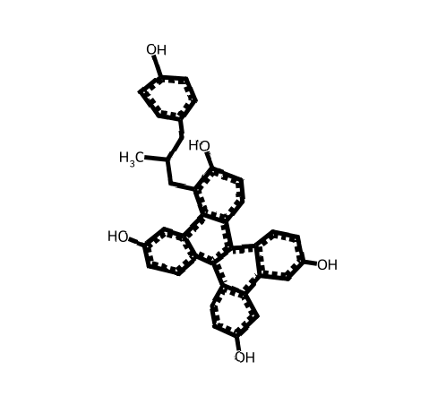 CC(Cc1ccc(O)cc1)Cc1c(O)ccc2c1c1cc(O)ccc1c1c3ccc(O)cc3c3cc(O)ccc3c21